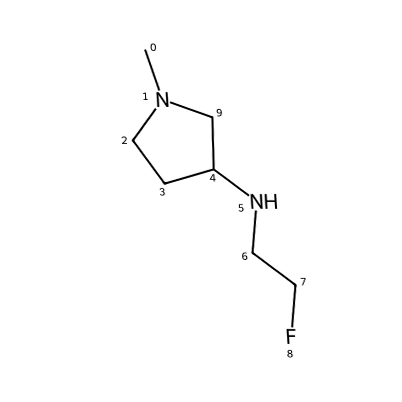 CN1CCC(NCCF)C1